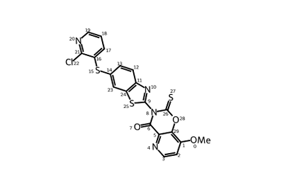 COc1ccnc2c(=O)n(-c3nc4ccc(Sc5cccnc5Cl)cc4s3)c(=S)oc12